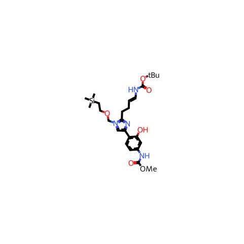 COC(=O)Nc1ccc(-c2cn(COCC[Si](C)(C)C)c(CC/C=C/NC(=O)OC(C)(C)C)n2)c(O)c1